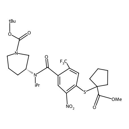 COC(=O)C1(Sc2cc(C(F)(F)F)c(C(=O)N(C(C)C)[C@@H]3CCCN(C(=O)OC(C)(C)C)C3)cc2[N+](=O)[O-])CCCC1